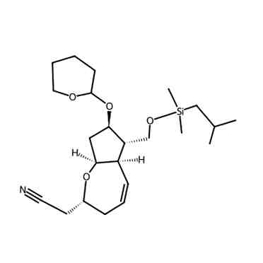 CC(C)C[Si](C)(C)OC[C@@H]1[C@H]2C=CC[C@H](CC#N)O[C@H]2C[C@H]1OC1CCCCO1